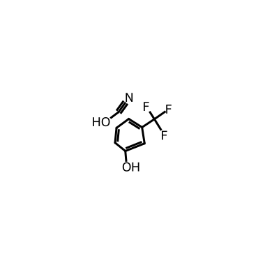 N#CO.Oc1cccc(C(F)(F)F)c1